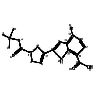 CC(C)(C)OC(=O)N1CC=C(c2cc3c(Br)ccc(C(=O)O)c3[nH]2)C1